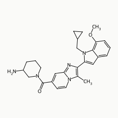 COc1cccc2cc(-c3nc4cc(C(=O)N5CCCC(N)C5)ccn4c3C)n(CC3CC3)c12